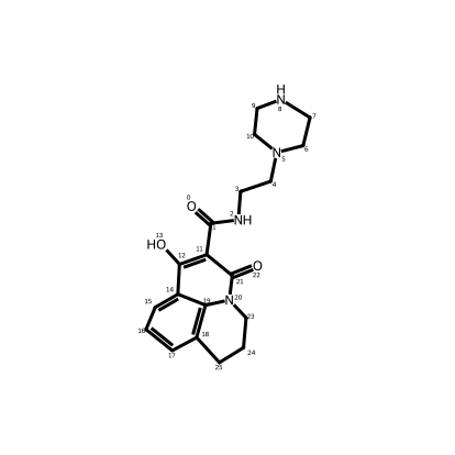 O=C(NCCN1CCNCC1)c1c(O)c2cccc3c2n(c1=O)CCC3